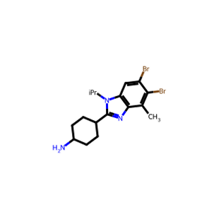 Cc1c(Br)c(Br)cc2c1nc(C1CCC(N)CC1)n2C(C)C